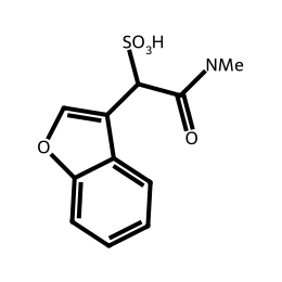 CNC(=O)C(c1coc2ccccc12)S(=O)(=O)O